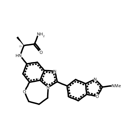 CNc1nc2cc(-c3nc4cc(N[C@@H](C)C(N)=O)cc5c4n3CCCO5)ccc2o1